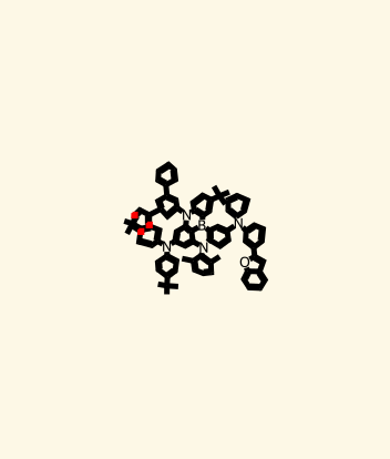 Cc1cccc(C)c1N1c2ccc(N(c3ccccc3)c3cccc(-c4cc5ccccc5o4)c3)cc2B2c3cc(C(C)(C)C)ccc3N(c3cc(-c4ccccc4)cc(-c4ccccc4)c3)c3cc(N(c4ccc(C(C)(C)C)cc4)c4ccc(C(C)(C)C)cc4)cc1c32